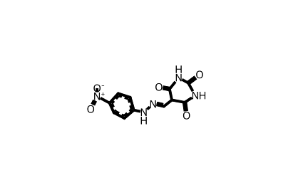 O=C1NC(=O)C(C=NNc2ccc([N+](=O)[O-])cc2)C(=O)N1